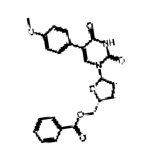 COc1ccc(-c2cn([C@H]3[CH][CH][C@H](COC(=O)c4ccccc4)O3)c(=O)[nH]c2=O)cc1